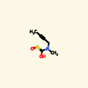 CC#CCN(C)C(O)=S=O